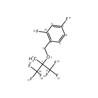 CC(OCc1ccc(F)cc1F)(C(F)(F)F)C(F)(F)F